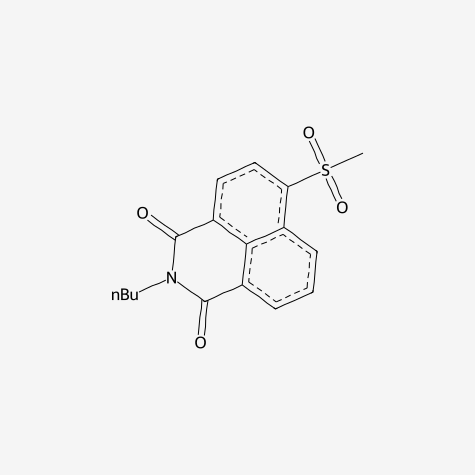 CCCCN1C(=O)c2cccc3c(S(C)(=O)=O)ccc(c23)C1=O